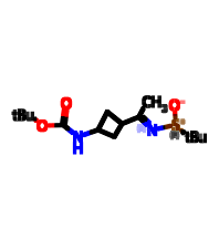 C/C(=N\[S@@+]([O-])C(C)(C)C)C1CC(NC(=O)OC(C)(C)C)C1